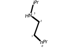 [CH2]CCCCNC(C)C